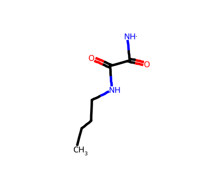 CCCCNC(=O)C([NH])=O